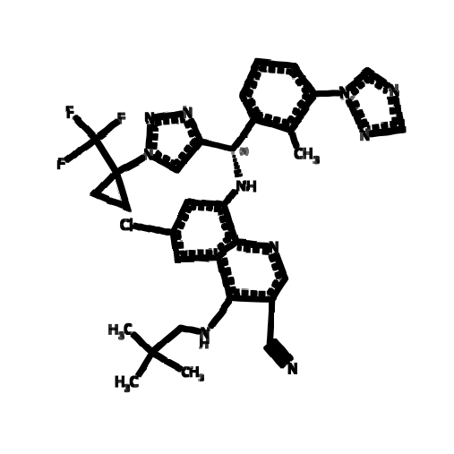 Cc1c([C@H](Nc2cc(Cl)cc3c(NCC(C)(C)C)c(C#N)cnc23)c2cn(C3(C(F)(F)F)CC3)nn2)cccc1-n1cncn1